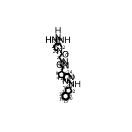 O=C(Cc1nnc(C2CCc3nc(NC4Cc5ccccc5C4)ncc32)o1)N1CCC2=C(C1)NNN2